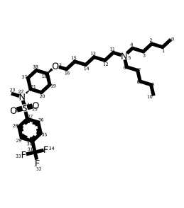 CCCCCN(CCCCC)CCCCCCO[C@H]1CC[C@H](N(C)S(=O)(=O)c2ccc(C(F)(F)F)cc2)CC1